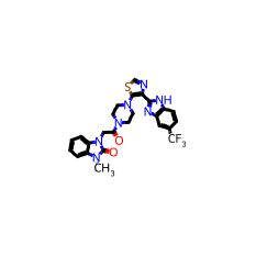 Cn1c(=O)n(CC(=O)N2CCN(c3scnc3-c3nc4cc(C(F)(F)F)ccc4[nH]3)CC2)c2ccccc21